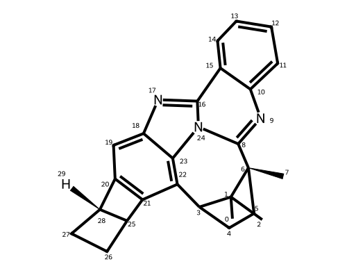 CC1(C)C2CC[C@@]1(C)c1nc3ccccc3c3nc4cc5c(c2c4n13)C1CC[C@H]51